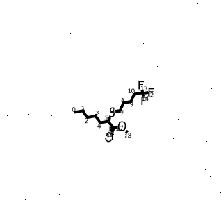 CCCCCC(SCCCCC(F)(F)F)C(=O)OC